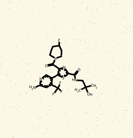 CC(C)(O)CNC(=O)c1nc(C(=O)N2CCC(F)CC2)c(-c2cnc(N)cc2C(F)(F)F)s1